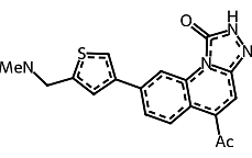 CNCc1cc(-c2ccc3c(C(C)=O)cc4n[nH]c(=O)n4c3c2)cs1